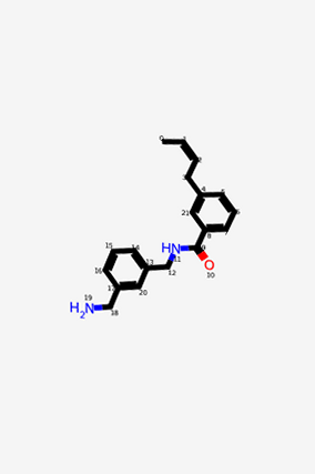 C/C=C\Cc1cccc(C(=O)NCc2cccc(CN)c2)c1